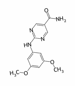 COc1cc(Nc2ncc(C(N)=O)cn2)cc(OC)c1